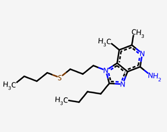 CCCCSCCCn1c(CCCC)nc2c(N)nc(C)c(C)c21